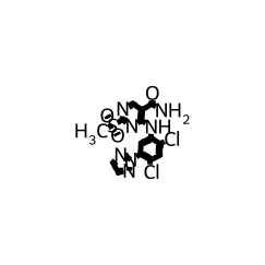 CS(=O)(=O)c1ncc(C(N)=O)c(Nc2cc(-n3nccn3)c(Cl)cc2Cl)n1